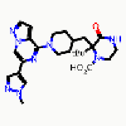 Cn1cc(-c2cn3nccc3c(N3CCC(CC4(C(C)(C)C)C(=O)NCCN4C(=O)O)CC3)n2)cn1